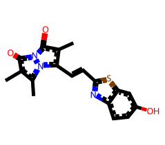 Cc1c(C)n2c(/C=C/c3nc4ccc(O)cc4s3)c(C)c(=O)n2c1=O